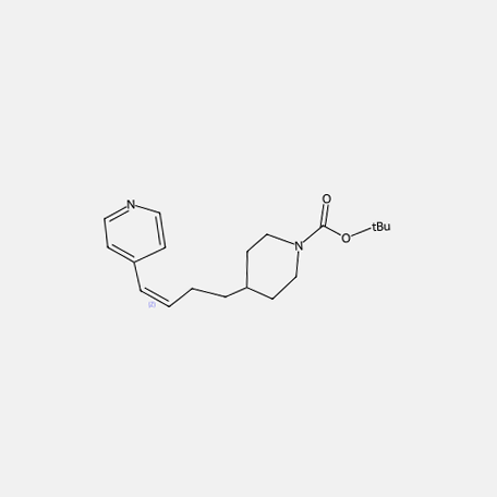 CC(C)(C)OC(=O)N1CCC(CC/C=C\c2ccncc2)CC1